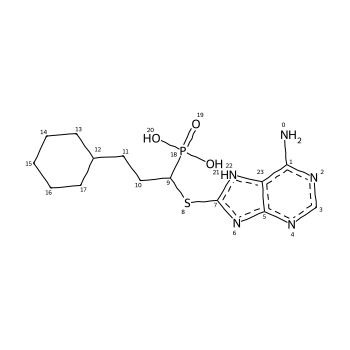 Nc1ncnc2nc(SC(CCC3CCCCC3)P(=O)(O)O)[nH]c12